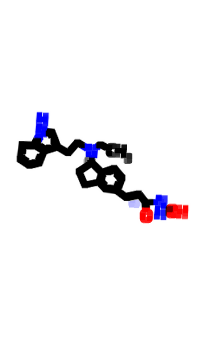 CCN(CCc1c[nH]c2ccccc12)[C@@H]1CCc2cc(/C=C/C(=O)NO)ccc21